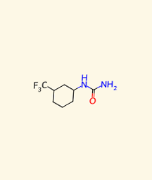 NC(=O)NC1CCCC(C(F)(F)F)C1